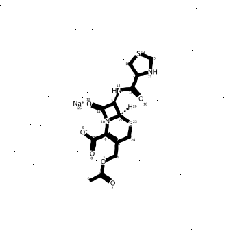 CC(=O)OCC1=C(C(=O)[O-])N2C(=O)[C@@H](NC(=O)C3CSCN3)[C@H]2SC1.[Na+]